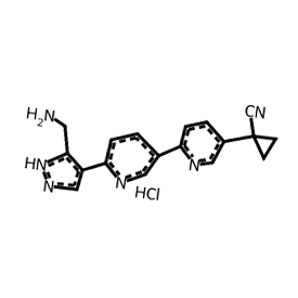 Cl.N#CC1(c2ccc(-c3ccc(-c4cn[nH]c4CN)nc3)nc2)CC1